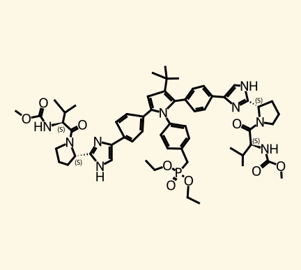 CCOP(=O)(Cc1ccc(-n2c(-c3ccc(-c4c[nH]c([C@@H]5CCCN5C(=O)[C@@H](NC(=O)OC)C(C)C)n4)cc3)cc(C(C)(C)C)c2-c2ccc(-c3c[nH]c([C@@H]4CCCN4C(=O)[C@@H](NC(=O)OC)C(C)C)n3)cc2)cc1)OCC